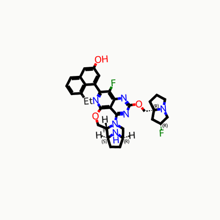 CCc1cccc2cc(O)cc(-c3nc4c5c(nc(OC[C@]67CCCN6C[C@H](F)C7)nc5c3F)N3C[C@H]5CC[C@H](N5)[C@@H]3CO4)c12